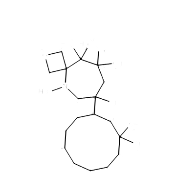 CN1CC(C)(C2CCCCCCCC(C)(C)C2)CC(C)(C)C(C)(C)C12COC2